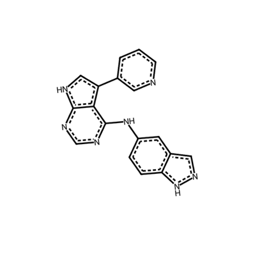 c1cncc(-c2c[nH]c3ncnc(Nc4ccc5[nH]ncc5c4)c23)c1